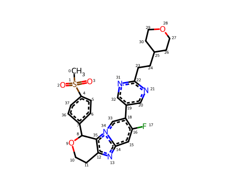 CS(=O)(=O)c1ccc(C2OCCc3nc4cc(F)c(-c5cnc(CCC6CCOCC6)nc5)cn4c32)cc1